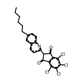 CCCCCCc1ccc2nc(C3C(=O)c4c(Cl)c(Cl)c(Cl)c(Cl)c4C3=O)ccc2c1